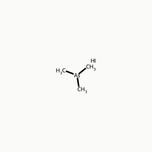 C[As](C)C.I